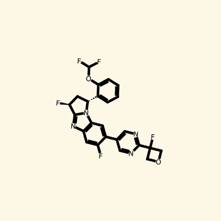 Fc1cc2nc3n(c2cc1-c1cnc(C2(F)COC2)nc1)[C@@H](c1ccccc1OC(F)F)C[C@@H]3F